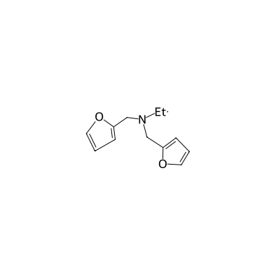 C[CH]N(Cc1ccco1)Cc1ccco1